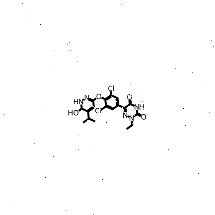 CCn1nc(-c2cc(Cl)c(OC3=NNC(O)C(C(C)C)=C3)c(Cl)c2)c(=O)[nH]c1=O